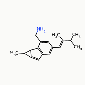 C/C(=C\c1cc2c(c(CN)c1)C1C(=C2)C1C)C(C)C